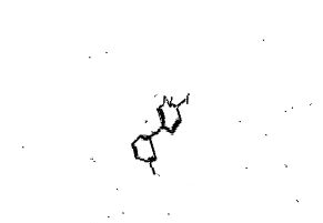 Cc1cccc(-c2ccc(I)nc2)c1